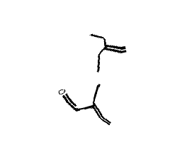 C=C(C)C.C=C(C)C=O